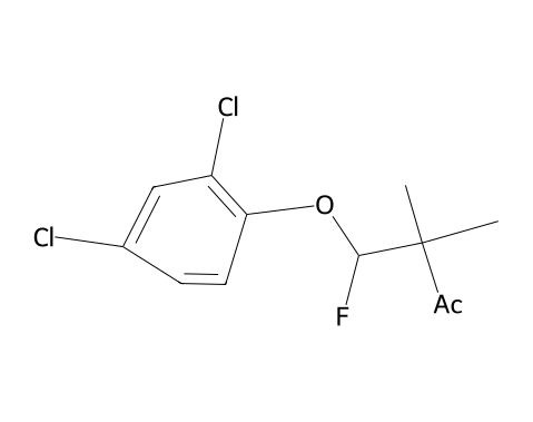 CC(=O)C(C)(C)C(F)Oc1ccc(Cl)cc1Cl